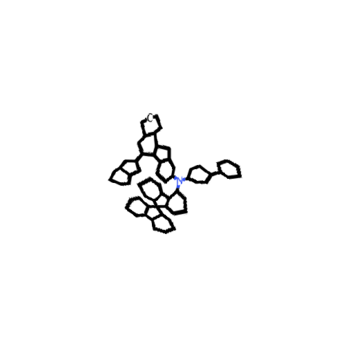 C1CCC(C2CCC(N(C3CCC4C(CC5C6CCCCC6CC(C6CC7CCCCC7C6)C45)C3)C3CCCC4C3C3CCCCC3C43C4CCCCC4C4CCCCC43)CC2)CC1